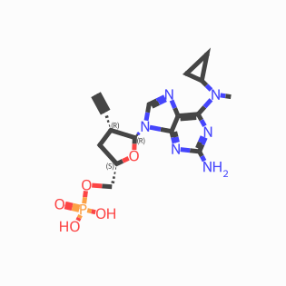 C#C[C@H]1C[C@@H](COP(=O)(O)O)O[C@H]1n1cnc2c(N(C)C3CC3)nc(N)nc21